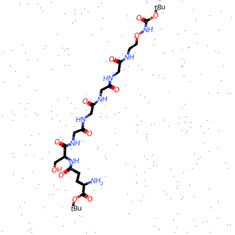 CC(C)(C)OC(=O)NOCCNC(=O)CNC(=O)CNC(=O)CNC(=O)CNC(=O)C(CO)NC(=O)CCC(N)C(=O)OC(C)(C)C